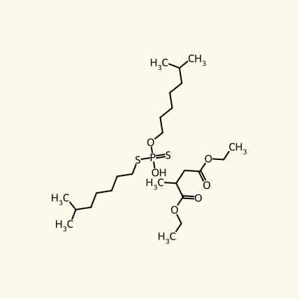 CC(C)CCCCCOP(O)(=S)SCCCCCC(C)C.CCOC(=O)CC(C)C(=O)OCC